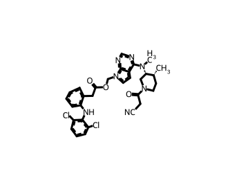 C[C@@H]1CCN(C(=O)CC#N)C[C@@H]1N(C)c1ncnc2c1ccn2COC(=O)Cc1ccccc1Nc1c(Cl)cccc1Cl